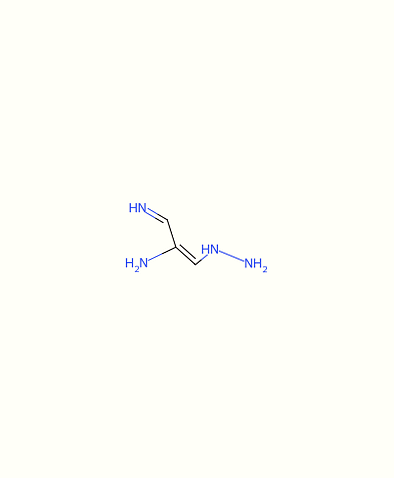 N=C/C(N)=C\NN